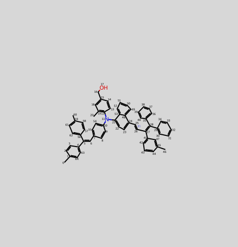 Cc1ccc(C(=Cc2ccc(N(c3ccc(CO)cc3C)c3ccc(/C=C/C(=C(c4ccccc4)c4ccccc4)c4cccc(C)c4)c4ccccc34)cc2)c2ccc(C)cc2)cc1